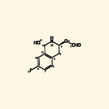 Cl.O=CO[C@H]1Cc2ccc(F)cc2CN1